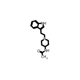 CC(=O)NC1CCN(CCc2c[nH]c3ccccc23)CC1